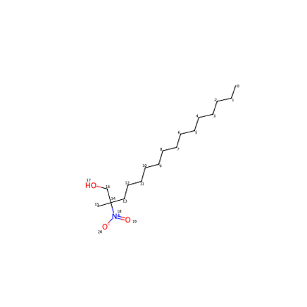 CCCCCCCCCCCCCCC(C)(CO)[N+](=O)[O-]